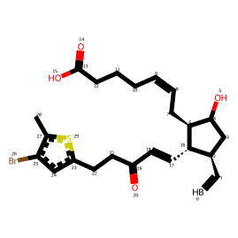 B=C[C@@H]1CC(O)[C@H](C/C=C\CCCC(=O)O)[C@H]1/C=C/C(=O)CCc1cc(Br)c(C)s1